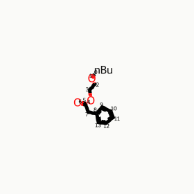 CCCCOCCOC(=O)Cc1ccccc1